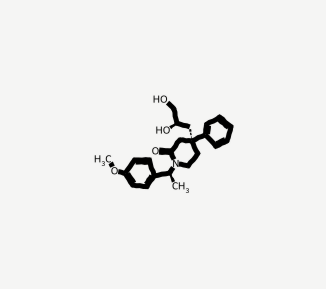 COc1ccc([C@H](C)N2CC[C@](C[C@@H](O)CO)(c3ccccc3)CC2=O)cc1